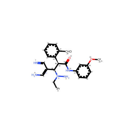 CC(C)CN(N)[C@@H](/C(C=N)=C/N)[C@H](C(=O)Nc1cccc(OC(F)(F)F)c1)c1ccccc1C=O